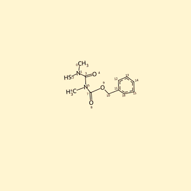 CN(S)C(=O)N(C)C(=O)OCc1ccccc1